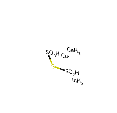 O=S(=O)(O)SS(=O)(=O)O.[Cu].[GaH3].[InH3]